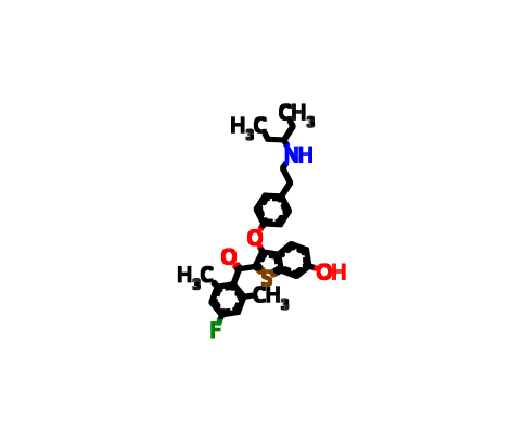 CCC(CC)NCCc1ccc(Oc2c(C(=O)c3c(C)cc(F)cc3C)sc3cc(O)ccc23)cc1